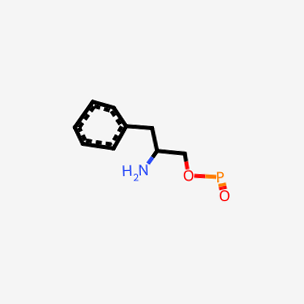 NC(COP=O)Cc1ccccc1